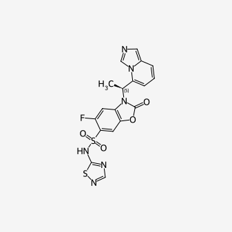 C[C@@H](c1cccc2cncn12)n1c(=O)oc2cc(S(=O)(=O)Nc3ncns3)c(F)cc21